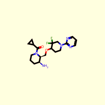 N[C@H]1CCCN(C(=O)C2CC2)[C@H]1COC1CCN(c2ncccn2)CC1(F)F